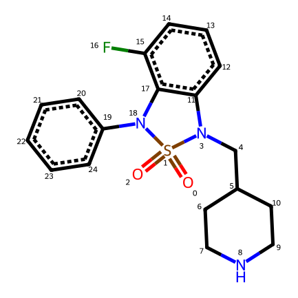 O=S1(=O)N(CC2CCNCC2)c2cccc(F)c2N1c1ccccc1